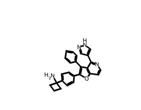 NC1(c2ccc(-c3oc4ccnc(-c5cn[nH]c5)c4c3-c3ccccc3)cc2)CCC1